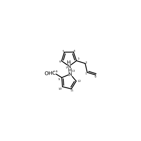 C=CCc1ccc[nH]1.O=Cc1ccc[nH]1